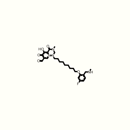 CNCc1ccc(F)cc1OCCCCCCCCCN1CN(C)C(=O)c2c(O)c(=O)c(C=O)cn21